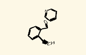 C#Cc1ccccc1C=O.c1ccncc1